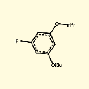 CCCOc1cc(OCC(C)C)cc([C](C)C)c1